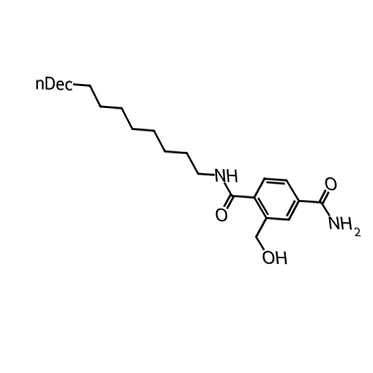 CCCCCCCCCCCCCCCCCCNC(=O)c1ccc(C(N)=O)cc1CO